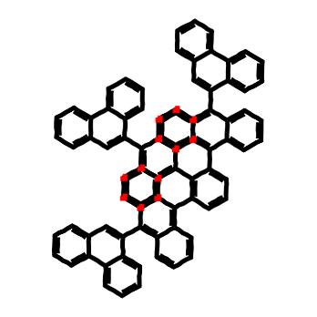 c1cc(-c2c3ccccc3c(-c3cc4ccccc4c4ccccc34)c3ccccc23)c(-c2c3ccccc3c(-c3cc4ccccc4c4ccccc34)c3ccccc23)c(-c2c3ccccc3c(-c3cc4ccccc4c4ccccc34)c3ccccc23)c1